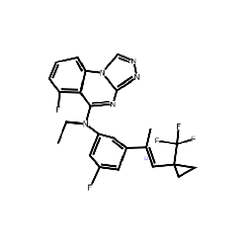 CCN(c1cc(F)cc(/C(C)=C/C2(C(F)(F)F)CC2)c1)c1nc2nncn2c2cccc(F)c12